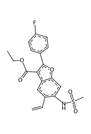 C=Cc1cc2c(C(=O)OCC)c(-c3ccc(F)cc3)oc2cc1NS(C)(=O)=O